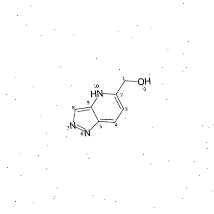 OCc1ccc2nncc-2[nH]1